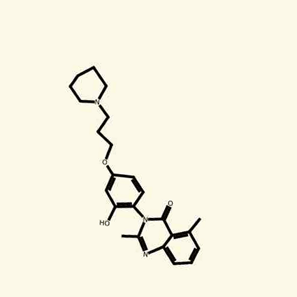 Cc1cccc2nc(C)n(-c3ccc(OCCCN4CCCCC4)cc3O)c(=O)c12